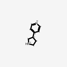 [c]1cc(C2CCNC2)ccn1